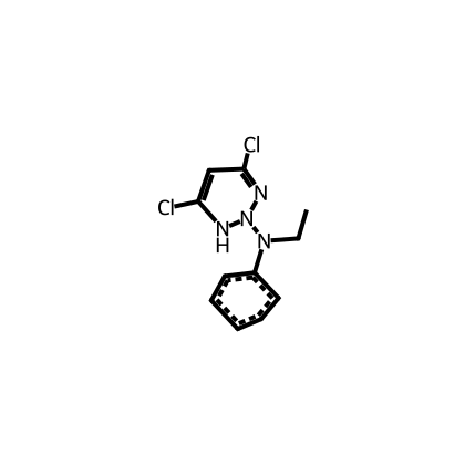 CCN(c1ccccc1)N1N=C(Cl)C=C(Cl)N1